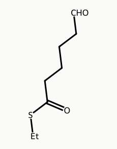 [CH2]CSC(=O)CCCCC=O